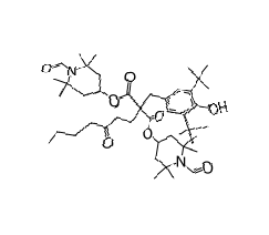 CCCCC(=O)CCC(Cc1cc(C(C)(C)C)c(O)c(C(C)(C)C)c1)(C(=O)OC1CC(C)(C)N(C=O)C(C)(C)C1)C(=O)OC1CC(C)(C)N(C=O)C(C)(C)C1